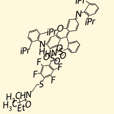 CCC(C)(C)C(=O)NCCSc1c(F)c(F)c(S(=O)(=O)NS(=O)(=O)c2ccccc2-c2c3cc/c(=N\c4c(C(C)C)cccc4C(C)C)cc-3oc3cc(Nc4c(C(C)C)cccc4C(C)C)ccc23)c(F)c1F